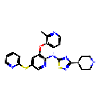 Cc1ncccc1Oc1cc(Sc2ccccn2)cnc1Nc1nc(C2CCNCC2)ns1